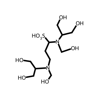 O=S(=O)(O)C(CCN(CO)C(CO)CO)N(CO)C(CO)CO